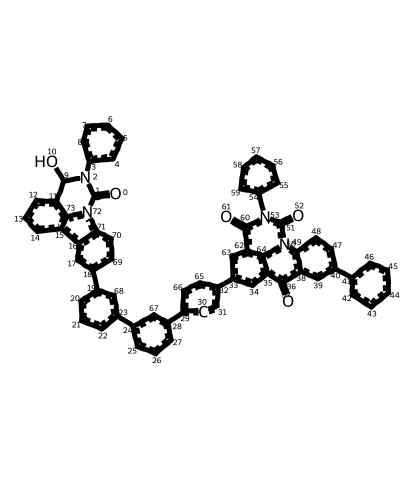 O=C1N(c2ccccc2)C(O)c2cccc3c4cc(-c5cccc(-c6cccc(-c7ccc(-c8cc9c(=O)c%10cc(-c%11ccccc%11)ccc%10n%10c(=O)n(-c%11ccccc%11)c(=O)c(c8)c9%10)cc7)c6)c5)ccc4n1c23